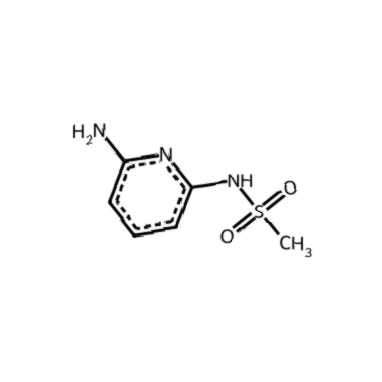 CS(=O)(=O)Nc1cccc(N)n1